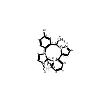 CC1c2cc(F)ccc2N2C=CN(C)[C@@]2(C)[n+]2ccccc2-c2ccnn21